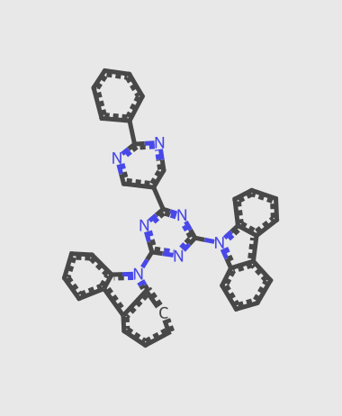 c1ccc(-c2ncc(-c3nc(-n4c5ccccc5c5ccccc54)nc(-n4c5ccccc5c5ccccc54)n3)cn2)cc1